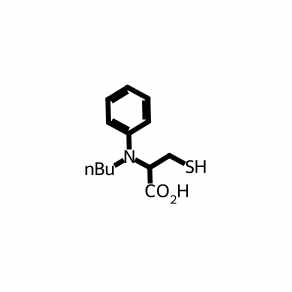 CCCCN(c1ccccc1)C(CS)C(=O)O